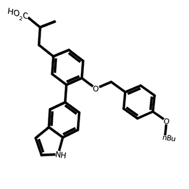 CCCCOc1ccc(COc2ccc(CC(C)C(=O)O)cc2-c2ccc3[nH]ccc3c2)cc1